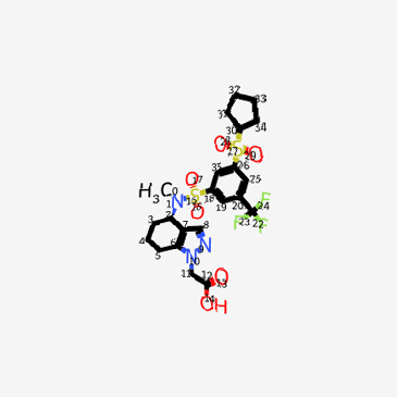 CN([C@@H]1CCCc2c1cnn2CC(=O)O)S(=O)(=O)c1cc(C(F)(F)F)cc(S(=O)(=O)C2CCCC2)c1